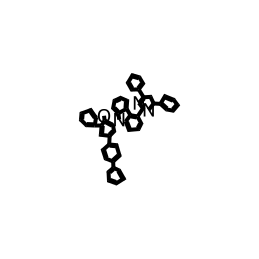 c1ccc(C2=NC(c3cccc4c3c3ccccc3n4-c3cc(-c4ccc(-c5ccccc5)cc4)cc4c3oc3ccccc34)=NC(c3ccccc3)C2)cc1